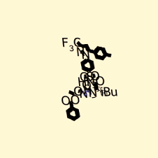 CC[C@@H](C)[C@@H](C(=O)NS(=O)(=O)c1ccc(-n2nc(C(F)(F)F)cc2-c2ccc(C)cc2)cc1)N(C)/[N+]([O-])=N/OC(C)OC(=O)c1ccccc1